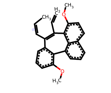 C=CC1=C(/C=C\C)c2cccc(OC)c2-c2cccc3ccc(OC)c1c23